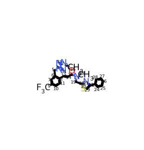 Cc1nnn(Cc2cc(C(F)(F)F)ccc2C=CC(=O)N(C)Cc2nc(-c3ccccc3)cs2)n1